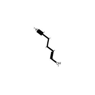 N#CCC/C=C/O